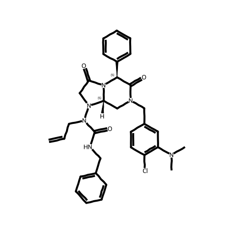 C=CCN(C(=O)NCc1ccccc1)N1CC(=O)N2[C@@H](c3ccccc3)C(=O)N(Cc3ccc(Cl)c(N(C)C)c3)C[C@@H]21